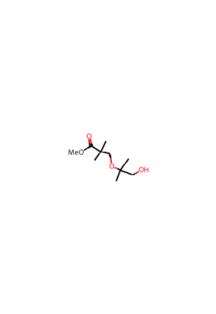 COC(=O)C(C)(C)COC(C)(C)CO